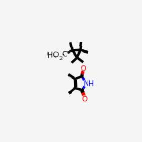 CC1(C)C(C)(C)C1(C)C(=O)O.CC1=C(C)C(=O)NC1=O